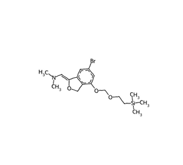 CN(C)C=C1OCc2c(OCOCC[Si](C)(C)C)cc(Br)cc21